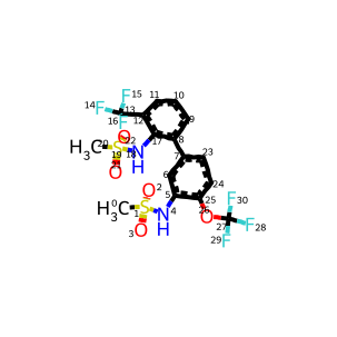 CS(=O)(=O)Nc1cc(-c2[c]ccc(C(F)(F)F)c2NS(C)(=O)=O)ccc1OC(F)(F)F